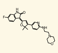 CC1(C)O/C(=C2/C(=O)Nc3cc(F)ccc32)C=C1c1ccc(NCCN2CCOCC2)nc1